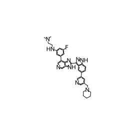 CN(C)CCNc1cc(F)cc(-c2cncc3[nH]c(-c4n[nH]c5ccc(-c6cncc(CN7CCCCC7)c6)cc45)nc23)c1